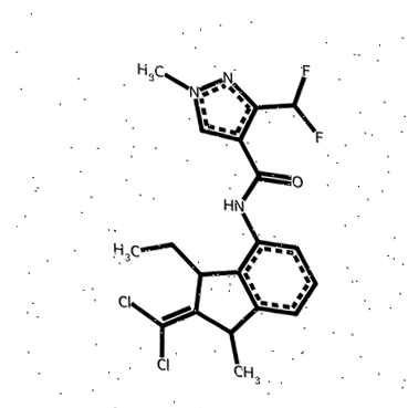 CCC1C(=C(Cl)Cl)C(C)c2cccc(NC(=O)c3cn(C)nc3C(F)F)c21